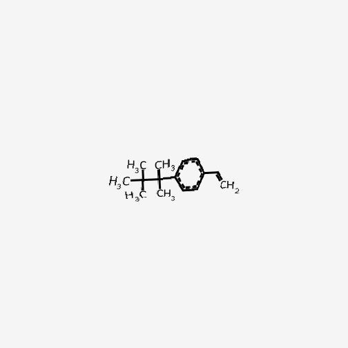 C=Cc1ccc(C(C)(C)C(C)(C)C)cc1